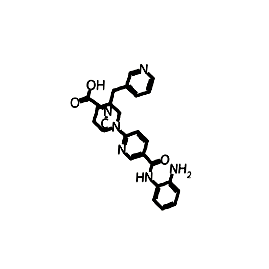 Nc1ccccc1NC(=O)c1ccc(N2CC3(Cc4cccnc4)CCC2CN3C(=O)O)nc1